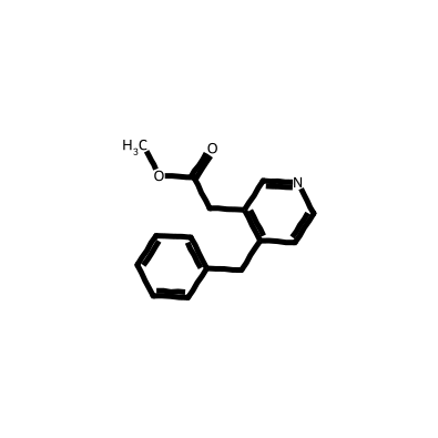 COC(=O)Cc1cnccc1Cc1ccccc1